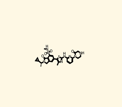 CNS(=O)(=O)c1cc(-c2sc(Nc3cccc(N4CCNCC4=O)n3)nc2C)cc2c1C(=O)N([C@@H](C)C1CC1)C2